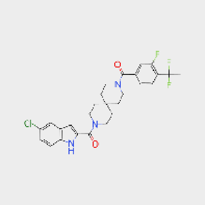 CC(F)(F)c1ccc(C(=O)N2CCC3(CC2)CCN(C(=O)c2cc4cc(Cl)ccc4[nH]2)CC3)cc1F